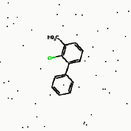 O=C(O)c1cccc(-c2ccccc2)c1Cl